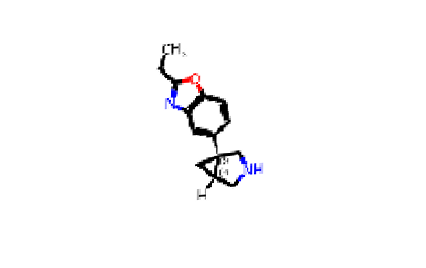 CCc1nc2cc([C@@]34CNC[C@@H]3C4)ccc2o1